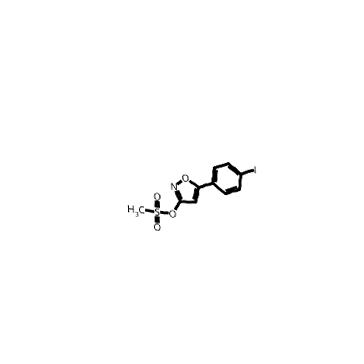 CS(=O)(=O)Oc1cc(-c2ccc(I)cc2)on1